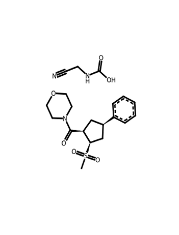 CS(=O)(=O)[C@@H]1C[C@H](c2ccccc2)C[C@@H]1C(=O)N1CCOCC1.N#CCNC(=O)O